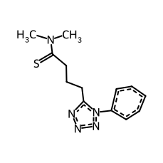 CN(C)C(=S)CCCc1nnnn1-c1ccccc1